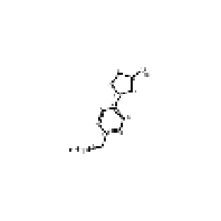 CCCCCCCCc1ccc(N2CCC(O)C2)cc1